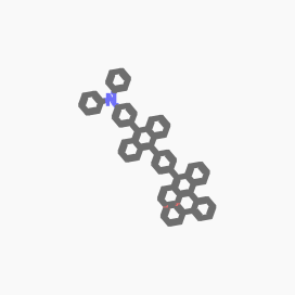 c1ccc(-c2ccccc2-c2c3ccccc3c(-c3ccc(-c4c5ccccc5c(-c5ccc(N(c6ccccc6)c6ccccc6)cc5)c5ccccc45)cc3)c3ccccc23)cc1